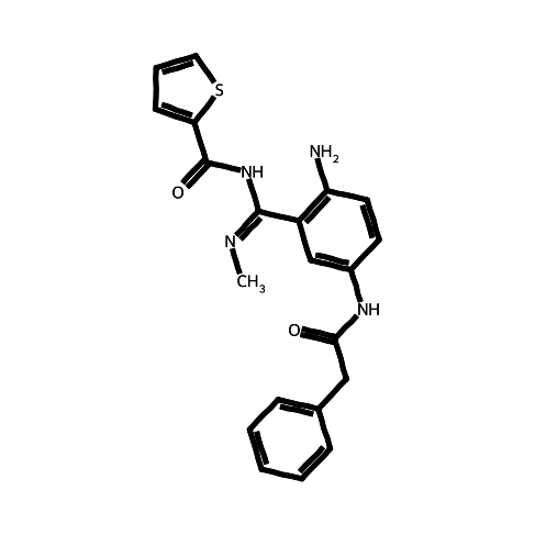 C/N=C(/NC(=O)c1cccs1)c1cc(NC(=O)Cc2ccccc2)ccc1N